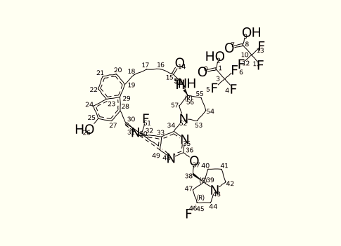 O=C(O)C(F)(F)F.O=C(O)C(F)(F)F.O=C1CCCc2cccc3cc(O)cc(c23)-c2ncc3c(nc(OC[C@@]45CCCN4C[C@H](F)C5)nc3c2F)N2CCC[C@H](C2)N1